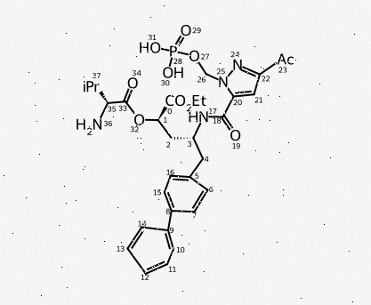 CCOC(=O)[C@@H](C[C@@H](Cc1ccc(-c2ccccc2)cc1)NC(=O)c1cc(C(C)=O)nn1COP(=O)(O)O)OC(=O)[C@@H](N)C(C)C